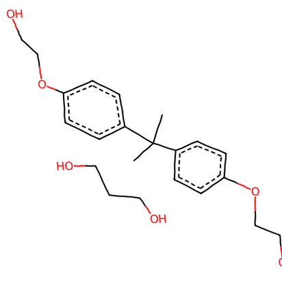 CC(C)(c1ccc(OCCO)cc1)c1ccc(OCCO)cc1.OCCCO